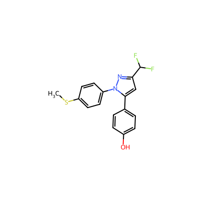 CSc1ccc(-n2nc(C(F)F)cc2-c2ccc(O)cc2)cc1